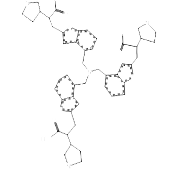 O=C(O)C(Cc1cc2c(CN(Cc3cccc4sc(CC(C(=O)O)C5CCNC5)cc34)Cc3cccc4sc(CC(C(=O)O)C5CCNC5)cc34)cccc2s1)C1CCNC1